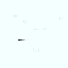 Cl.N[C@H](CCC(=O)O)C(=O)O.[MgH2]